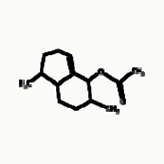 CC(=O)OC1C2=CCCC(C)C2CCC1C